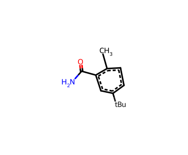 Cc1ccc(C(C)(C)C)cc1C(N)=O